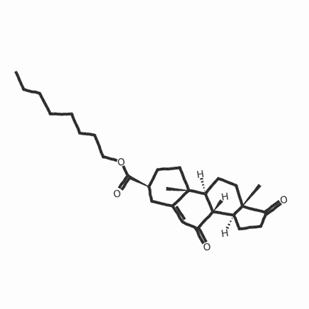 CCCCCCCCOC(=O)[C@H]1CC[C@@]2(C)C(=CC(=O)[C@@H]3[C@@H]2CC[C@]2(C)C(=O)CC[C@@H]32)C1